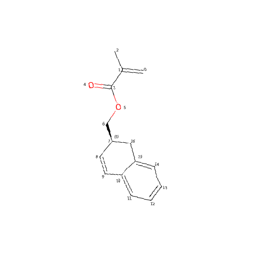 C=C(C)C(=O)OC[C@@H]1C=Cc2ccccc2C1